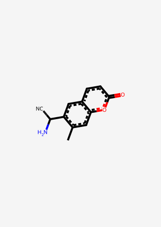 Cc1cc2oc(=O)ccc2cc1C(N)C#N